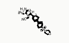 CC(C)C[C@H](C(N)=O)N(CC#N)C(c1ccc(-c2ccc(S(=O)(=O)N3CCOCC3)cc2)cc1)C(F)(F)F